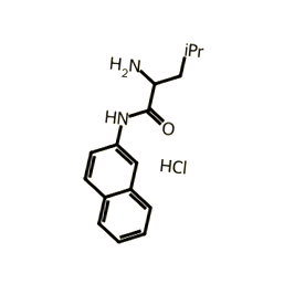 CC(C)CC(N)C(=O)Nc1ccc2ccccc2c1.Cl